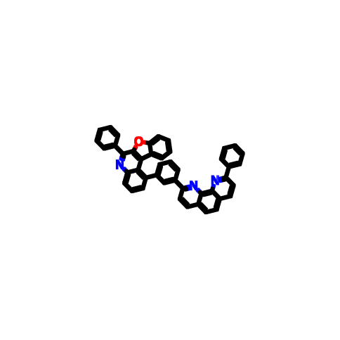 c1ccc(-c2ccc3ccc4ccc(-c5cccc(-c6cccc7nc(-c8ccccc8)c8oc9ccccc9c8c67)c5)nc4c3n2)cc1